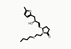 CCCCSCCN1C(=O)CC[C@@H]1/C=C/[C@@H](O)Cc1ccc(C)o1